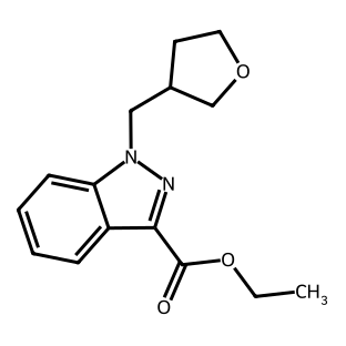 CCOC(=O)c1nn(CC2CCOC2)c2ccccc12